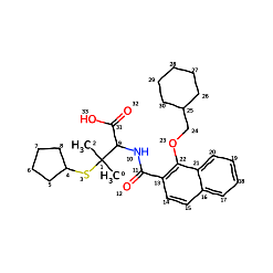 CC(C)(SC1CCCC1)C(NC(=O)c1ccc2ccccc2c1OCC1CCCCC1)C(=O)O